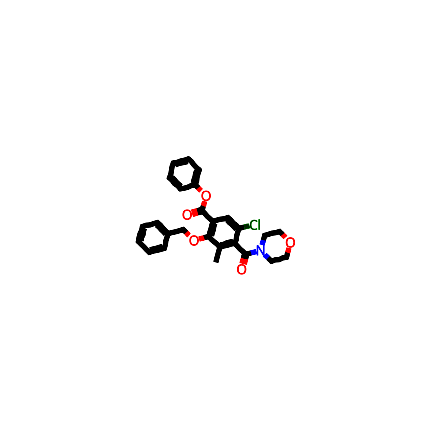 Cc1c(OCc2ccccc2)c(C(=O)Oc2ccccc2)cc(Cl)c1C(=O)N1CCOCC1